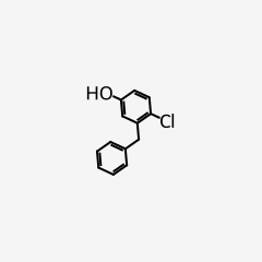 Oc1ccc(Cl)c(Cc2ccccc2)c1